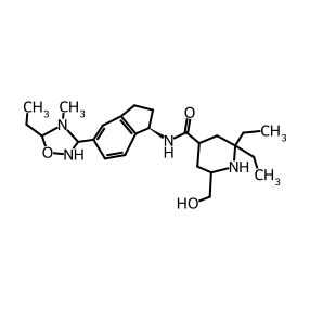 CCC1ONC(c2ccc3c(c2)CC[C@H]3NC(=O)C2CC(CO)NC(CC)(CC)C2)N1C